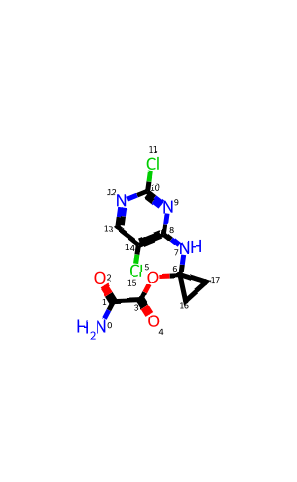 NC(=O)C(=O)OC1(Nc2nc(Cl)ncc2Cl)CC1